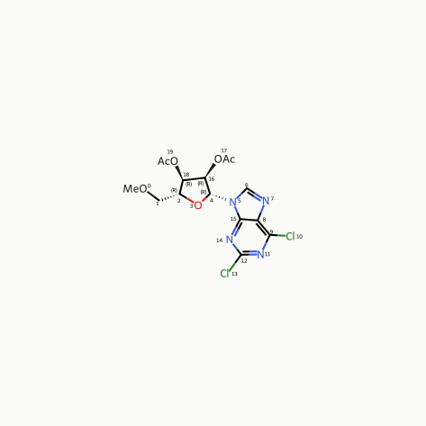 COC[C@H]1O[C@@H](n2cnc3c(Cl)nc(Cl)nc32)[C@H](OC(C)=O)[C@@H]1OC(C)=O